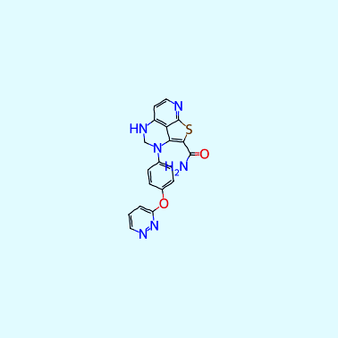 NC(=O)c1sc2nccc3c2c1N(c1ccc(Oc2cccnn2)cc1)CN3